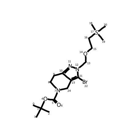 CC(C)(C)OC(=O)N1CCc2nn(COCCS(C)(C)C)c(Br)c2C1